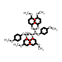 COc1ccc(ON(P(N=[PH](Oc2ccc(OC)cc2)Oc2ccc(OC)cc2)Oc2ccc(OC)cc2)P(Oc2ccc(OC)cc2)Oc2ccc(OC)cc2)cc1